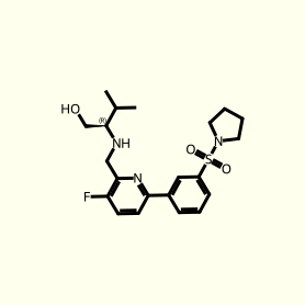 CC(C)[C@H](CO)NCc1nc(-c2cccc(S(=O)(=O)N3CCCC3)c2)ccc1F